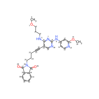 COCCCNc1nc(Nc2ccnc(OC)c2)ncc1C#CCCCN1C(=O)c2ccccc2C1=O